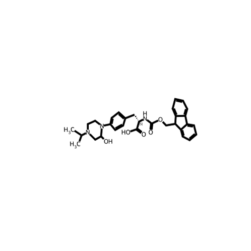 CC(C)N1CCN(c2ccc(C[C@H](NC(=O)OCC3c4ccccc4-c4ccccc43)C(=O)O)cc2)C(O)C1